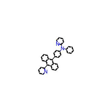 c1ccc(N(c2ccc(-c3c4ccccc4c(-c4ccccn4)c4ccccc34)cc2)c2ccccn2)cc1